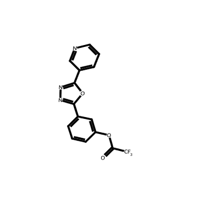 O=C(Oc1cccc(-c2nnc(-c3cccnc3)o2)c1)C(F)(F)F